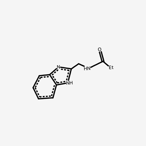 CCC(=O)NCc1nc2ccccc2[nH]1